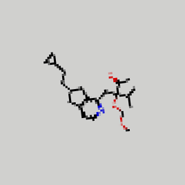 COCOC(Cc1nccc2c1C[C@H](CCC1CC1)C2)(C(C)=O)C(C)C